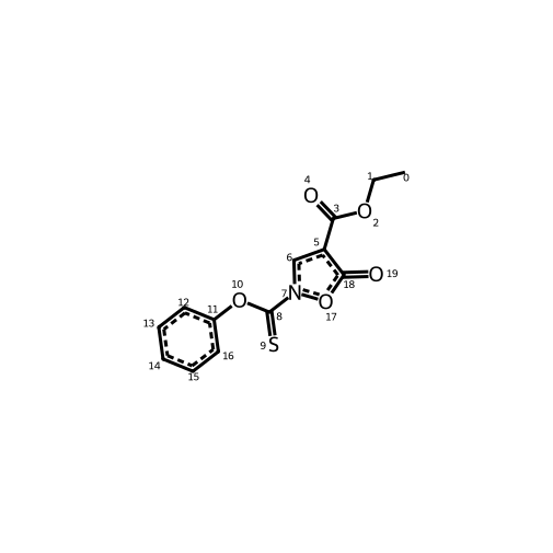 CCOC(=O)c1cn(C(=S)Oc2ccccc2)oc1=O